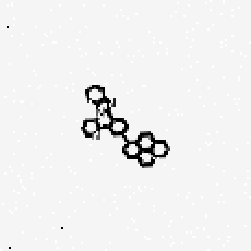 C1=Cc2nc3c4ccc(-c5ccc6ccc7cccc8ccc5c6c78)cc4c4ncccc4n3c2CC1